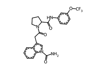 NC(=O)n1cc(CC(=O)N2CCCC2C(=O)Nc2cccc(OC(F)(F)F)c2)c2ccccc21